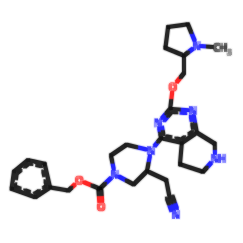 CN1CCCC1COc1nc2c(c(N3CCN(C(=O)OCc4ccccc4)CC3CC#N)n1)CCNC2